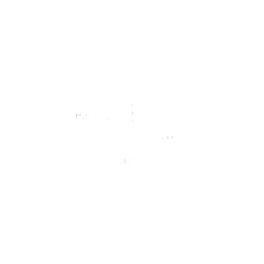 C[C](C)C1CC1C